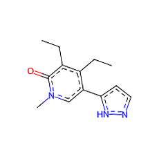 CCc1c(-c2ccn[nH]2)cn(C)c(=O)c1CC